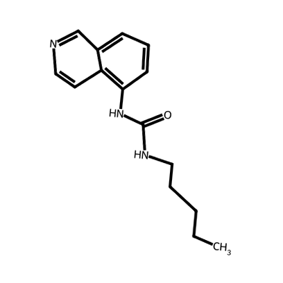 CCCCCNC(=O)Nc1cccc2cnccc12